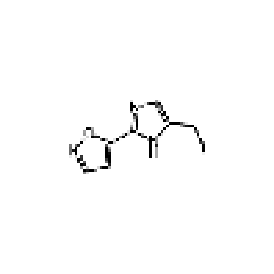 ICc1cnc(-c2ccno2)[nH]1